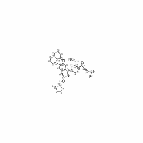 CN1CCC[C@H]1COc1nc2c(c(N3CCN(C(=O)C#CC(F)F)[C@@H](CC#N)C3)n1)CCN(c1cccc3cccc(Cl)c13)C2